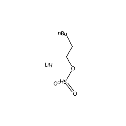 CCCCCCO[SH](=O)=O.[LiH]